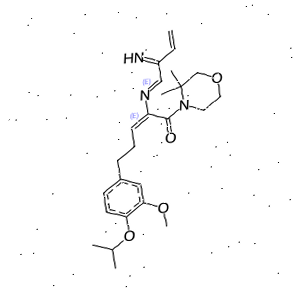 C=CC(=N)/C=N/C(=C/CCc1ccc(OC(C)C)c(OC)c1)C(=O)N1CCOCC1(C)C